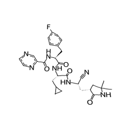 CC1(C)C[C@@H](C[C@@H](C#N)NC(=O)[C@H](CC2CC2)NC(=O)[C@H](Cc2ccc(F)cc2)NC(=O)c2cnccn2)C(=O)N1